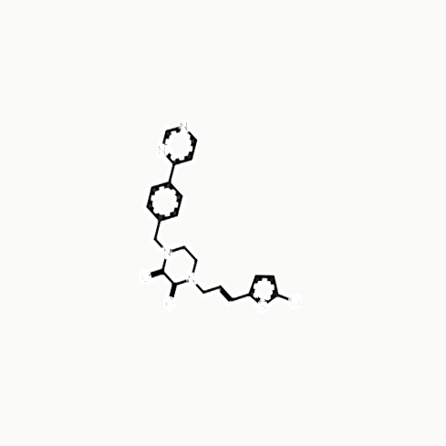 O=C1C(=O)N(Cc2ccc(-c3ccncn3)cc2)CCN1CC=Cc1ccc(Cl)s1